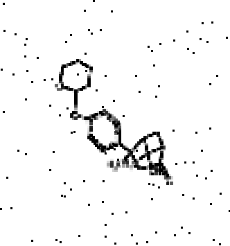 CC1(c2ccc(OC3CCCCO3)cc2)CC(=O)C2CC1C2(C)C